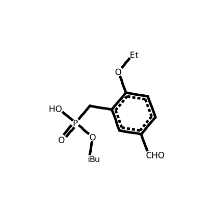 CCOc1ccc(C=O)cc1CP(=O)(O)OC(C)CC